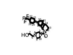 O=C(N1CCN(CCO)CC1)N1CCC2CC1c1cc(-c3ccc(C(F)(F)F)cc3)ccc12